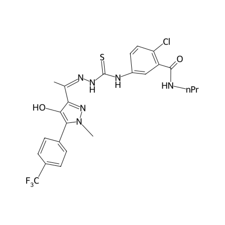 CCCNC(=O)c1cc(NC(=S)NN=C(C)c2nn(C)c(-c3ccc(C(F)(F)F)cc3)c2O)ccc1Cl